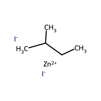 CCC(C)C.[I-].[I-].[Zn+2]